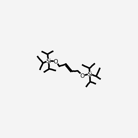 CC(C)[Si](OCC=CCO[Si](C(C)C)(C(C)C)C(C)C)(C(C)C)C(C)C